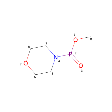 CO[P](=O)N1CCOCC1